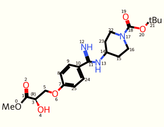 COC(=O)[C@H](O)COc1ccc(C(=N)NC2CCN(C(=O)OC(C)(C)C)CC2)cc1